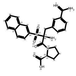 N=C(N)c1cccc(C[C@](N)(C(=O)N2CCC[C@H]2C(=O)O)S(=O)(=O)c2ccc3ccccc3c2)c1